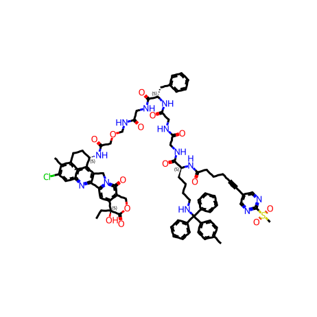 CC[C@@]1(O)C(=O)OCc2c1cc1n(c2=O)Cc2c-1nc1cc(Cl)c(C)c3c1c2[C@@H](NC(=O)COCNC(=O)CNC(=O)[C@H](Cc1ccccc1)NC(=O)CNC(=O)CNC(=O)[C@H](CCCCNC(c1ccccc1)(c1ccccc1)c1ccc(C)cc1)NC(=O)CCCC#Cc1cnc(S(C)(=O)=O)nc1)CC3